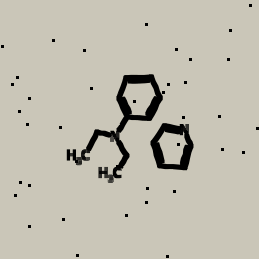 CCN(CC)c1ccccc1.c1ccncc1